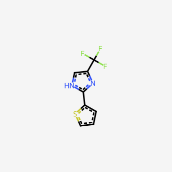 FC(F)(F)c1c[nH]c(-c2cccs2)n1